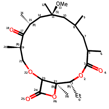 CC[C@H]1OC(=O)C(C)CC(C)C[C@](C)(OC)C[C@@H](C)C(=O)[C@H](C)COC2C(=O)O[C@@]21C